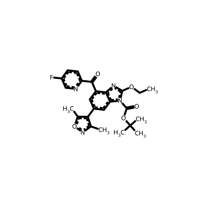 CCOc1nc2c(C(=O)c3ccc(F)cn3)cc(-c3c(C)noc3C)cc2n1C(=O)OC(C)(C)C